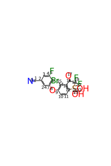 N#Cc1cc(F)cc(Oc2ccc3c(c2Br)C(=O)C(F)(F)S3(O)O)c1